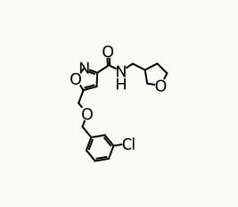 O=C(NCC1CCOC1)c1cc(COCc2cccc(Cl)c2)on1